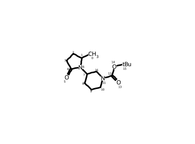 CC1CCC(=O)N1C1CCCN(C(=O)OC(C)(C)C)C1